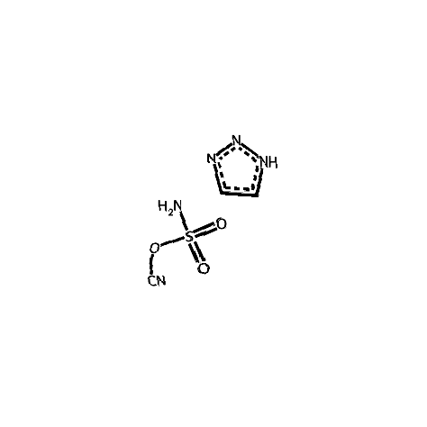 N#COS(N)(=O)=O.c1c[nH]nn1